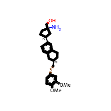 COc1ccc(SC[C@@H]2CCc3cc([C@H]4CC[C@](N)(CO)C4)ccc3C2)cc1OC